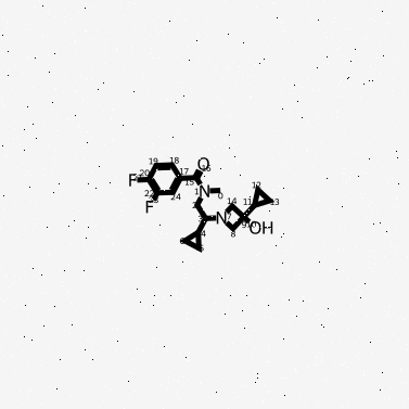 CN(CC(C1CC1)N1CC(O)(C2CC2)C1)C(=O)c1ccc(F)c(F)c1